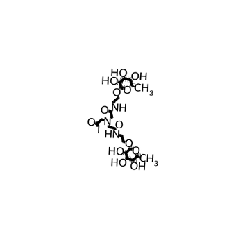 C[C@@H]1O[C@@H](OCCNC(=O)CN(CC(=O)I)CC(=O)NCCO[C@@H]2O[C@@H](C)[C@@H](O)[C@@H](O)[C@@H]2O)[C@@H](O)[C@H](O)[C@@H]1O